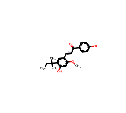 CCC(C)(C)c1cc(/C=C/C(=O)c2ccc(O)cc2)c(OC)cc1O